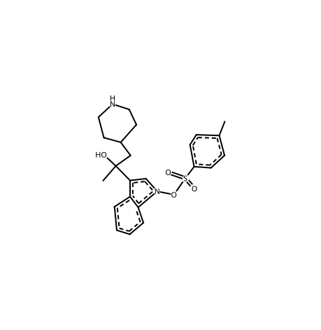 Cc1ccc(S(=O)(=O)On2cc(C(C)(O)CC3CCNCC3)c3ccccc32)cc1